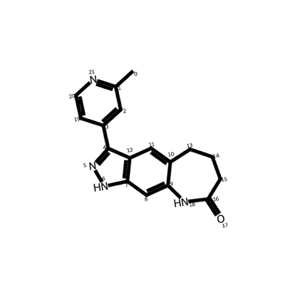 Cc1cc(-c2n[nH]c3cc4c(cc23)CCCC(=O)N4)ccn1